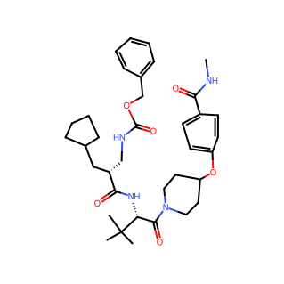 CNC(=O)c1ccc(OC2CCN(C(=O)[C@@H](NC(=O)[C@@H](CNC(=O)OCc3ccccc3)CC3CCCC3)C(C)(C)C)CC2)cc1